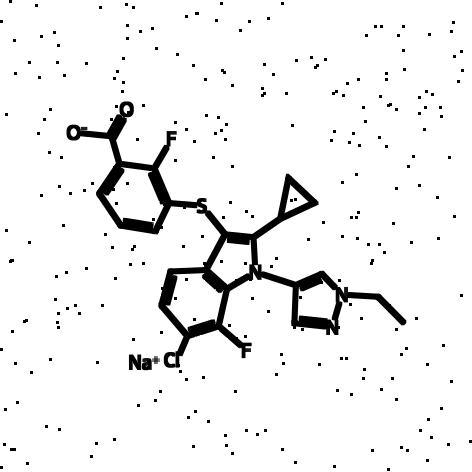 CCn1cc(-n2c(C3CC3)c(Sc3cccc(C(=O)[O-])c3F)c3ccc(Cl)c(F)c32)cn1.[Na+]